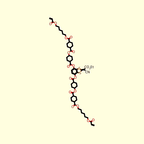 C=CC(=O)OCCCCCCOC(=O)C1CCC(C(=O)OC2CCC(C(=O)Oc3ccc(OC(=O)C4CCC(OC(=O)C5CCC(C(=O)OCCCCCCOC(=O)C=C)CC5)CC4)c4c3SC(=C(C#N)C(=O)OCC)S4)CC2)CC1